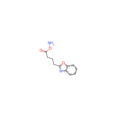 NOC(=O)CCCc1nc2ccccc2o1